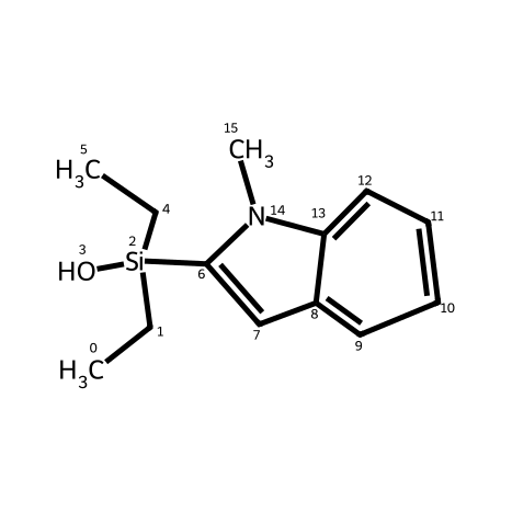 CC[Si](O)(CC)c1cc2ccccc2n1C